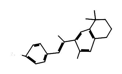 CC(=O)Oc1ccc(C=C(C)c2cc3c(cc2C)CCCC3(C)C)cc1